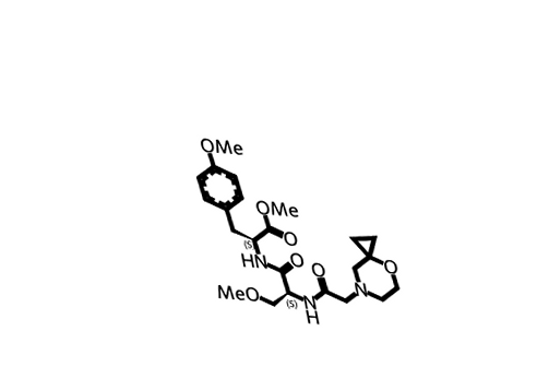 COC[C@H](NC(=O)CN1CCOC2(CC2)C1)C(=O)N[C@@H](Cc1ccc(OC)cc1)C(=O)OC